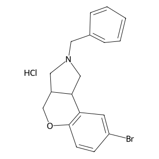 Brc1ccc2c(c1)C1CN(Cc3ccccc3)CC1CO2.Cl